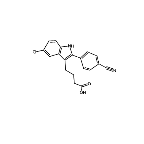 N#Cc1ccc(-c2[nH]c3ccc(Cl)cc3c2CCCC(=O)O)cc1